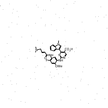 COc1cc(F)c(NC(=O)/C=C/CN(C)C)cc1Nc1ncc(C(=O)O)c(-c2cn(C)c3ccccc23)n1